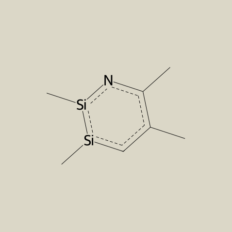 Cc1c[si](C)[si](C)nc1C